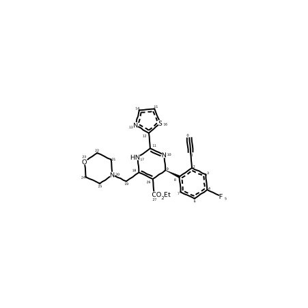 C#Cc1cc(F)ccc1[C@@H]1N=C(c2nccs2)NC(CN2CCOCC2)=C1C(=O)OCC